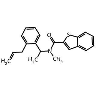 C=CCc1ccccc1C(C)N(C)C(=O)c1cc2ccccc2s1